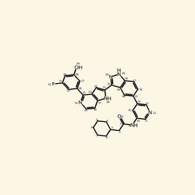 O=C(CC1CCCCC1)Nc1cncc(-c2ccc3[nH]nc(-c4cc5c(-c6cc(O)cc(F)c6)nccc5[nH]4)c3c2)c1